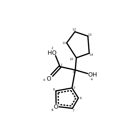 O=C(O)C(O)(c1ccoc1)C1CCCC1